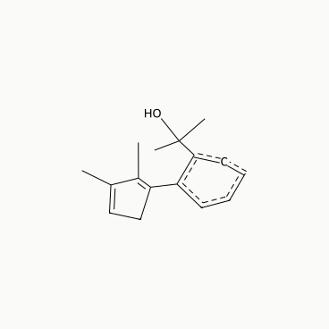 CC1=CCC(c2ccccc2C(C)(C)O)=C1C